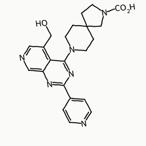 O=C(O)N1CCC2(CCN(c3nc(-c4ccncc4)nc4cncc(CO)c34)CC2)C1